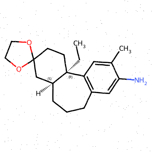 CC[C@@]12CCC3(C[C@@H]1CCCc1cc(N)c(C)cc12)OCCO3